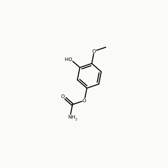 COc1ccc(OC(N)=O)cc1O